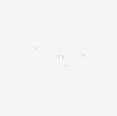 C=O.CCCCNC#N